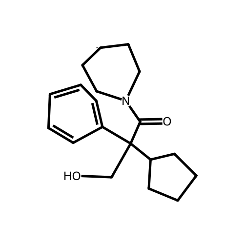 O=C(N1CC[CH]CC1)C(CO)(c1ccccc1)C1CCCC1